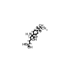 CN(C)S(=O)(=O)N1CCC(C(N)(CCCCB(O)O)C(=O)O)CC1